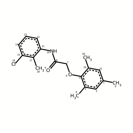 Cc1cc(C)c(OCC(=O)Nc2cccc(Cl)c2C)c(C)c1